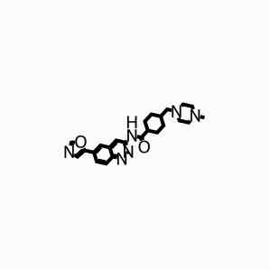 CN1CCN(CC2CCC(C(=O)Nc3cc4cc(-c5cnco5)ccc4nn3)CC2)CC1